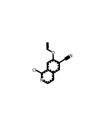 C=COc1cc2c(Cl)nccc2cc1C#N